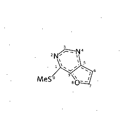 CSc1ncnc2ccoc12